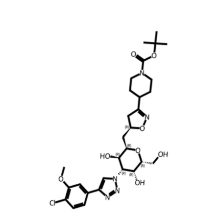 COc1cc(-c2cn([C@H]3[C@@H](O)[C@@H](CO)O[C@H](C[C@H]4CC(C5CCN(C(=O)OC(C)(C)C)CC5)=NO4)[C@@H]3O)nn2)ccc1Cl